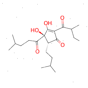 CCC(C)C(=O)C1=C(O)[C@@](O)(C(=O)CCC(C)C)[C@@H](CCC(C)C)C1=O